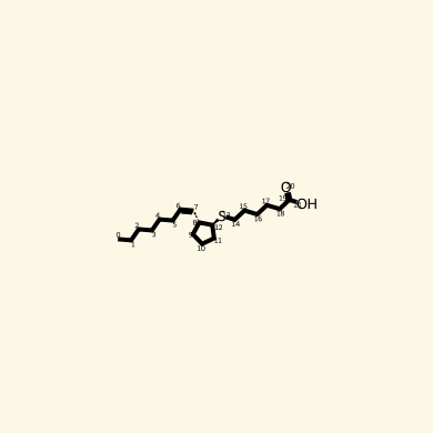 CCCCCC/C=C\[C@H]1CCC[C@@H]1SCCCCCC(=O)O